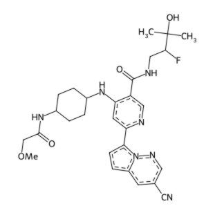 COCC(=O)NC1CCC(Nc2cc(-c3ccc4cc(C#N)cnn34)ncc2C(=O)NCC(F)C(C)(C)O)CC1